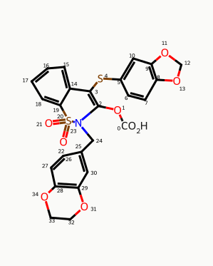 O=C(O)OC1=C(Sc2ccc3c(c2)OCO3)c2ccccc2S(=O)(=O)N1Cc1ccc2c(c1)OCCO2